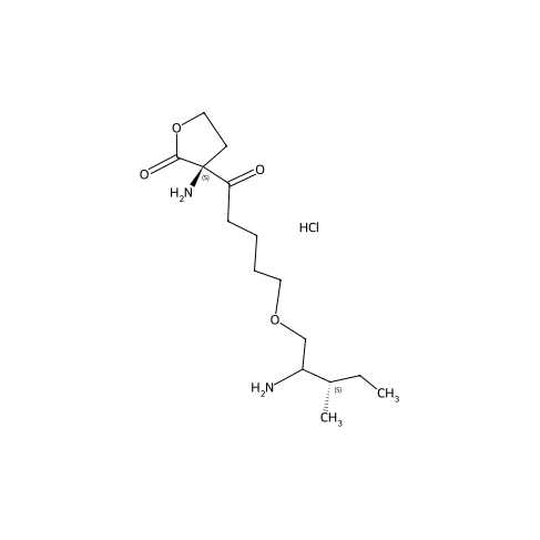 CC[C@H](C)C(N)COCCCCC(=O)[C@@]1(N)CCOC1=O.Cl